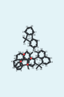 CC1(C)c2ccccc2-c2ccc(N(c3ccc4c(c3)C(C)(C)c3ccccc3-4)c3ccc4cccc5c4c3-c3cc(-c4cccc6ccccc46)ccc3C5(C)C)cc21